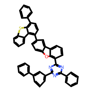 c1ccc(-c2cccc(-c3nc(-c4ccccc4)nc(-c4cccc5c4oc4ccc(-c6ccc(-c7ccccc7)c7sc8ccccc8c67)cc45)n3)c2)cc1